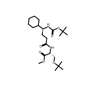 COC(=O)[C@@H](COC(C)(C)C)NC(=O)CC[C@H](NC(=O)OC(C)(C)C)C1CCCCC1